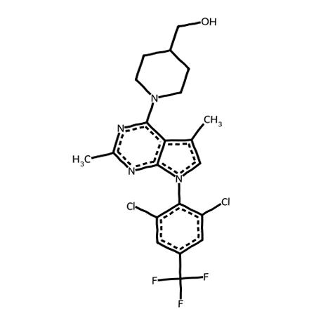 Cc1nc(N2CCC(CO)CC2)c2c(C)cn(-c3c(Cl)cc(C(F)(F)F)cc3Cl)c2n1